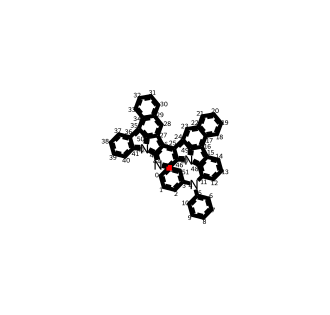 c1ccc(N(c2ccccc2)c2cccc3c4c5ccccc5cc5c6c7c8cc9ccccc9c9c%10ccccc%10n(c7ncc6n(c23)c54)c89)cc1